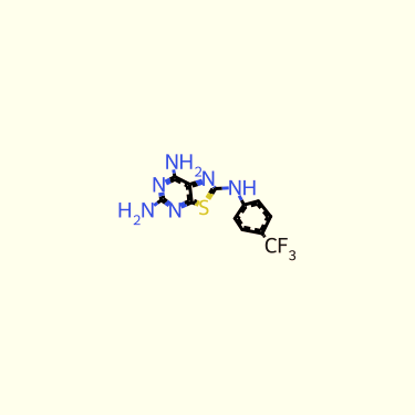 Nc1nc(N)c2nc(Nc3ccc(C(F)(F)F)cc3)sc2n1